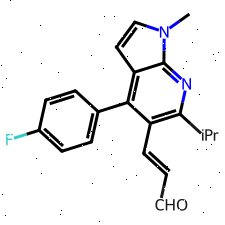 CC(C)c1nc2c(ccn2C)c(-c2ccc(F)cc2)c1C=CC=O